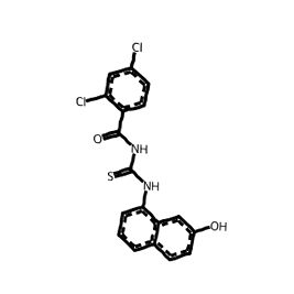 O=C(NC(=S)Nc1cccc2ccc(O)cc12)c1ccc(Cl)cc1Cl